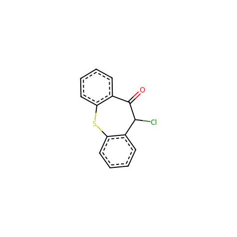 O=C1c2ccccc2Sc2ccccc2C1Cl